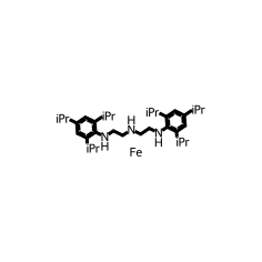 CC(C)c1cc(C(C)C)c(NCCNCCNc2c(C(C)C)cc(C(C)C)cc2C(C)C)c(C(C)C)c1.[Fe]